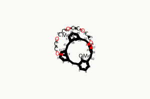 COc1c2cccc1Cc1cccc3c1OCCOCCOCCOCCOc1c(cccc1Cc1cccc(c1OC)C3)C2